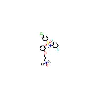 CC[N+]([O-])(CC)CCCOc1ccccc1CN(c1cc(F)ccc1F)S(=O)(=O)c1ccc(Cl)cc1